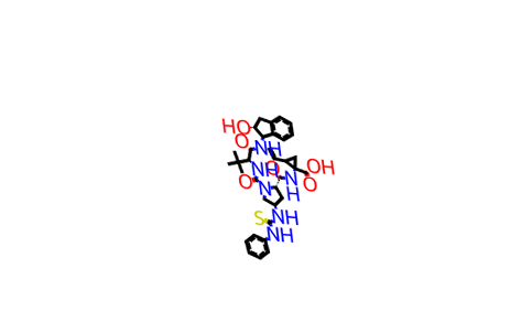 C=CC1C[C@]1(NC(=O)[C@@H]1C[C@@H](NC(=S)Nc2ccccc2)CN1C(=O)N[C@H](C(=O)NC1c2ccccc2C[C@H]1O)C(C)(C)C)C(=O)O